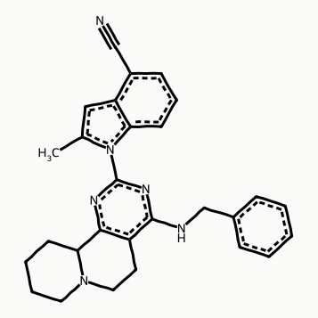 Cc1cc2c(C#N)cccc2n1-c1nc(NCc2ccccc2)c2c(n1)C1CCCCN1CC2